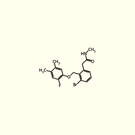 CNC(=O)Cc1cccc(Br)c1COc1cc(C)c(C)cc1F